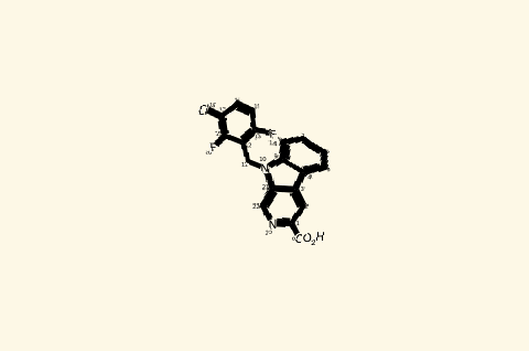 O=C(O)c1cc2c3ccccc3n(Cc3c(F)ccc(Cl)c3F)c2cn1